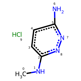 CNc1ccc(N)nn1.Cl